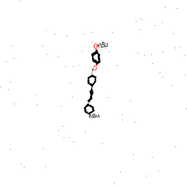 CCCCOc1ccc(OC[C@H]2CC[C@H](C#CC=C[C@H]3CC[C@H](CCCC)CC3)CC2)cc1